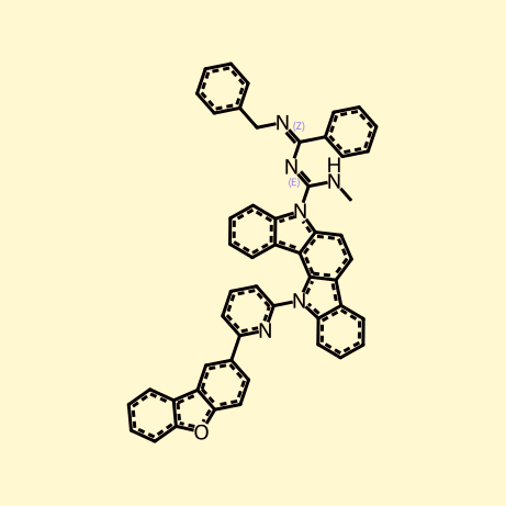 CN/C(=N\C(=N/Cc1ccccc1)c1ccccc1)n1c2ccccc2c2c1ccc1c3ccccc3n(-c3cccc(-c4ccc5oc6ccccc6c5c4)n3)c12